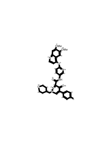 COc1cc2nccc(Oc3ccc(NC(=O)c4nn(CC5CCOCC5)cc(-c5ccc(C)cc5)c4=O)cn3)c2cc1OC